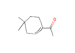 CC(=O)C1=CCC(C)(C)CC1